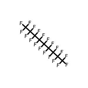 FC(F)(F)C(F)(F)C(F)(F)C(F)(F)C(F)(F)C(F)(F)C(F)(I)C(F)(F)C(F)(F)F